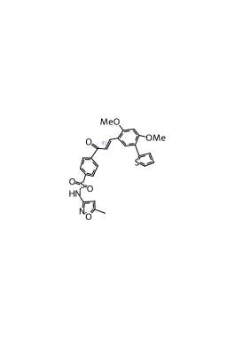 COc1cc(OC)c(-c2cccs2)cc1/C=C/C(=O)c1ccc(S(=O)(=O)Nc2cc(C)on2)cc1